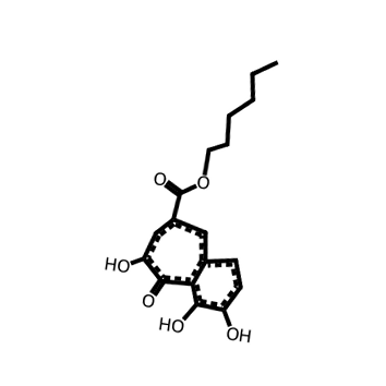 CCCCCCOC(=O)c1cc(O)c(=O)c2c(O)c(O)ccc2c1